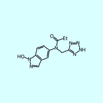 CCC(=O)N(Cc1nn[nH]n1)c1ccc2c(cnn2O)c1